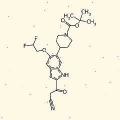 CC(C)(C)OC(=O)N1CCC(c2cc3[nH]c(C(=O)CC#N)cc3cc2OCC(F)F)CC1